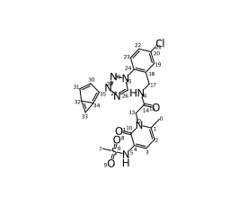 Cc1ccc(NS(C)(=O)=O)c(=O)n1CC(=O)NCc1cc(Cl)ccc1-n1cnnn1.c1cc2cc-2c1